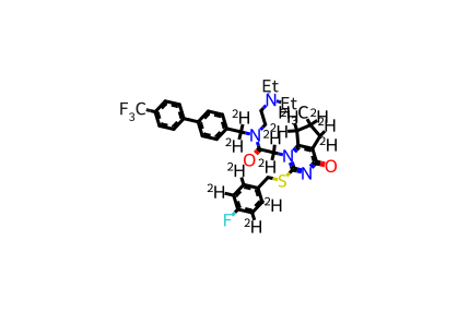 [2H]c1c([2H])c(CSc2nc(=O)c3c(n2C([2H])([2H])C(=O)N(CCN(CC)CC)C([2H])([2H])c2ccc(-c4ccc(C(F)(F)F)cc4)cc2)C([2H])([2H])C([2H])(C)C3([2H])[2H])c([2H])c([2H])c1F